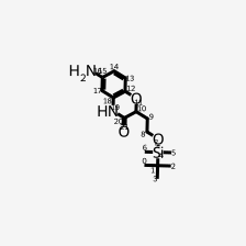 CC(C)(C)[Si](C)(C)OCCC1Oc2ccc(N)cc2NC1=O